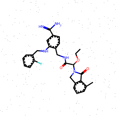 CCOC(C(=O)NCc1ccc(C(=N)N)cc1NCc1ccccc1F)N1Cc2cccc(C)c2C1=O